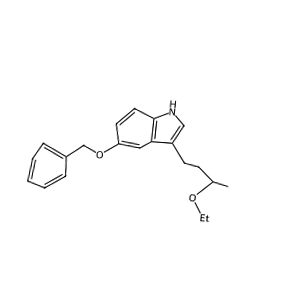 CCOC(C)CCc1c[nH]c2ccc(OCc3ccccc3)cc12